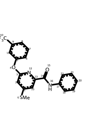 CSc1cc(Oc2cccc(C(F)(F)F)c2)nc(C(=O)Nc2ccccc2)c1